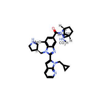 COc1cc(C(=O)N2C[C@H]3CC[C@@H]2[C@@H]3NC(=O)O)cc2nc(-c3cc4cccnc4n3CC3CC3)n(C[C@H]3CCNC3)c12